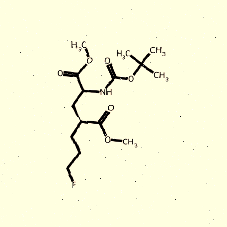 COC(=O)C(C[C@H](CCCF)C(=O)OC)NC(=O)OC(C)(C)C